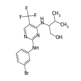 CC(C)C(CO)Nc1nc(Nc2cccc(Br)c2)ncc1C(F)(F)F